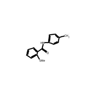 CSc1ccccc1C(=O)Nc1ccc(C)cc1